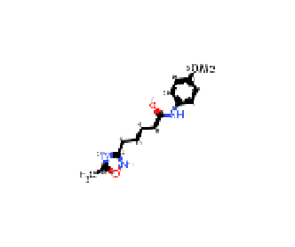 COc1ccc(NC(=O)CCCCc2noc(C(F)(F)F)n2)cc1